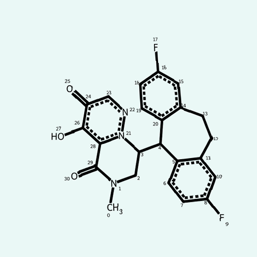 CN1CC(C2c3ccc(F)cc3CCc3cc(F)ccc32)n2ncc(=O)c(O)c2C1=O